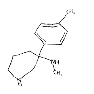 CNC1(c2ccc(C)cc2)CCCNC1